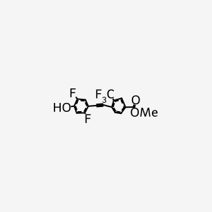 COC(=O)c1ccc(C#Cc2cc(F)c(O)cc2F)c(C(F)(F)F)c1